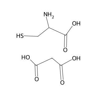 NC(CS)C(=O)O.O=C(O)CC(=O)O